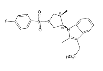 Cc1c(CC(=O)O)c2ccccc2n1[C@H]1CN(S(=O)(=O)c2ccc(F)cc2)C[C@H]1C